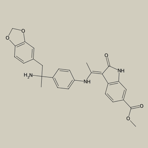 COC(=O)c1ccc2c(c1)NC(=O)C2=C(C)Nc1ccc(C(C)(N)Cc2ccc3c(c2)OCO3)cc1